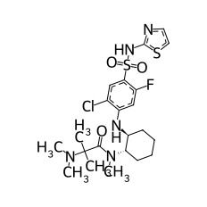 CN(C(=O)C(C)(C)N(C)C)[C@H]1CCCC[C@@H]1Nc1cc(F)c(S(=O)(=O)Nc2nccs2)cc1Cl